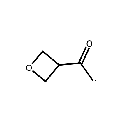 [CH2]C(=O)C1COC1